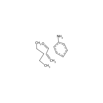 C=CC=O.CCCCC.Nc1ccccc1